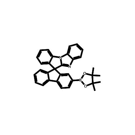 CC1(C)OB(c2ccc3c(c2)C2(c4ccccc4-3)c3ccccc3-n3c2nc2ccccc23)OC1(C)C